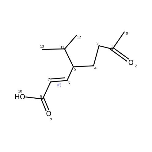 CC(=O)CCC(/C=C/C(=O)O)C(C)C